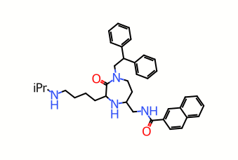 CC(C)NCCCCC1NC(CNC(=O)c2ccc3ccccc3c2)CCN(CC(c2ccccc2)c2ccccc2)C1=O